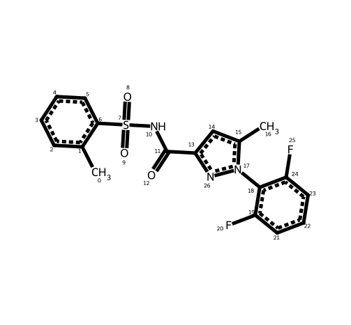 Cc1ccccc1S(=O)(=O)NC(=O)c1cc(C)n(-c2c(F)cccc2F)n1